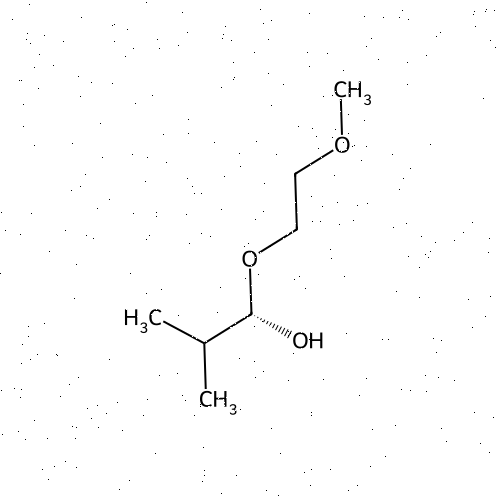 COCCO[C@H](O)C(C)C